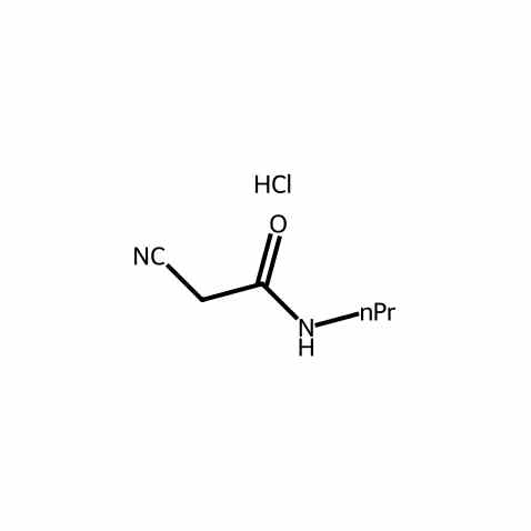 CCCNC(=O)CC#N.Cl